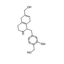 OCC1=CCC2=C(CCNC2Cc2ccc(CO)c(O)c2)C1